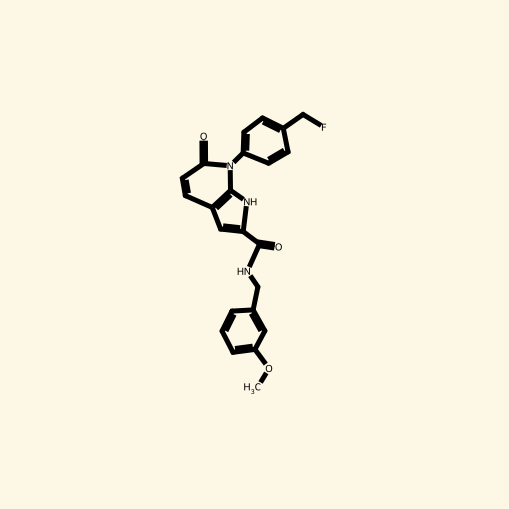 COc1cccc(CNC(=O)c2cc3ccc(=O)n(-c4ccc(CF)cc4)c3[nH]2)c1